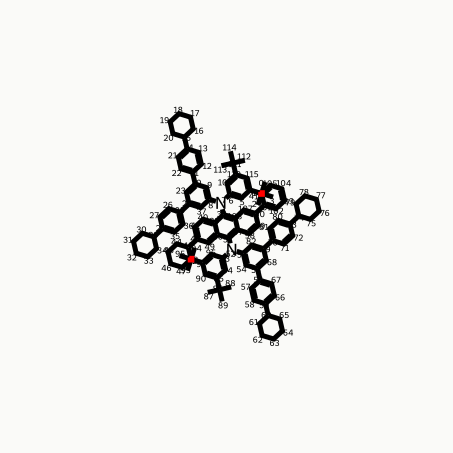 CC(C)(C)c1cc(N(c2cc(-c3ccc(C4CCCCC4)cc3)cc(-c3ccc(C4CCCCC4)cc3)c2)c2c3ccc(C4CCCCC4)cc3c(N(c3cc(-c4ccc(C5CCCCC5)cc4)cc(-c4ccc(C5CCCCC5)cc4)c3)c3cc(C(C)(C)C)cc(C(C)(C)C)c3)c3ccc(-c4ccccc4)cc23)cc(C(C)(C)C)c1